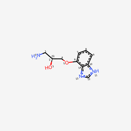 NC[C@H](O)COc1cccc2[nH]cnc12